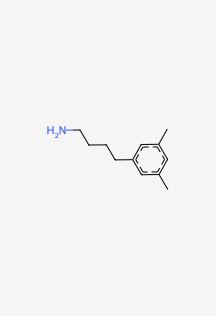 Cc1cc(C)cc(CCCCN)c1